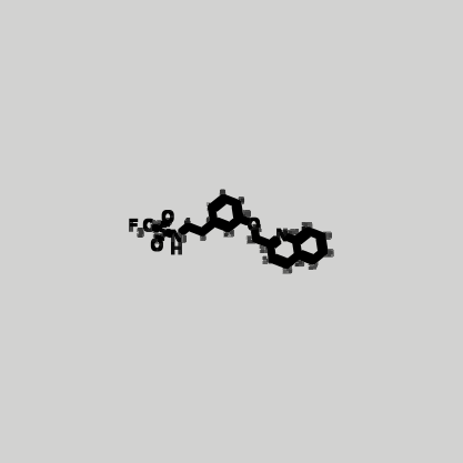 O=S(=O)(NCCc1cccc(OCc2ccc3ccccc3n2)c1)C(F)(F)F